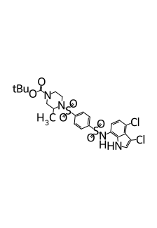 CC1CN(C(=O)OC(C)(C)C)CCN1S(=O)(=O)c1ccc(S(=O)(=O)Nc2ccc(Cl)c3c(Cl)c[nH]c23)cc1